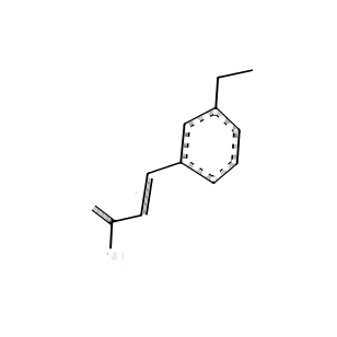 CCc1cccc(/C=C/C(N)=O)c1